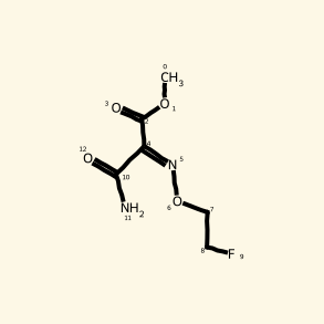 COC(=O)C(=NOCCF)C(N)=O